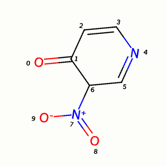 O=C1C=CN=CC1[N+](=O)[O-]